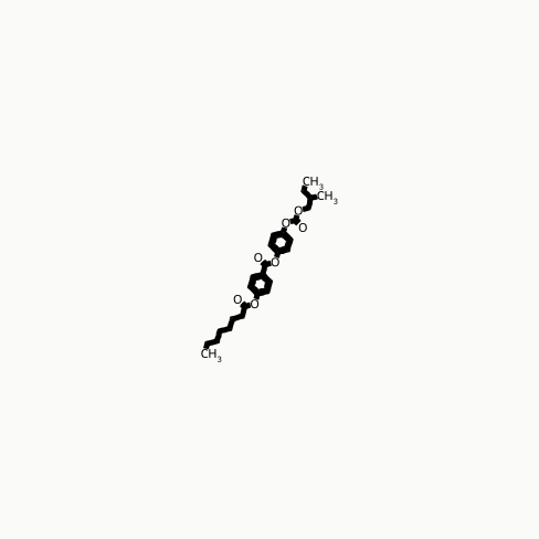 CCCCCCCC(=O)Oc1ccc(C(=O)Oc2ccc(OC(=O)OCC(C)CC)cc2)cc1